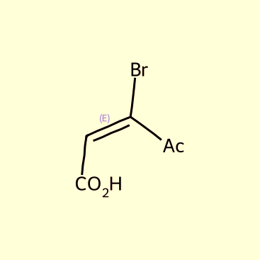 CC(=O)/C(Br)=C\C(=O)O